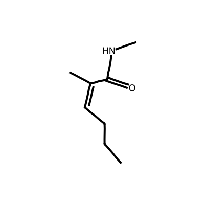 CCCC=C(C)C(=O)NC